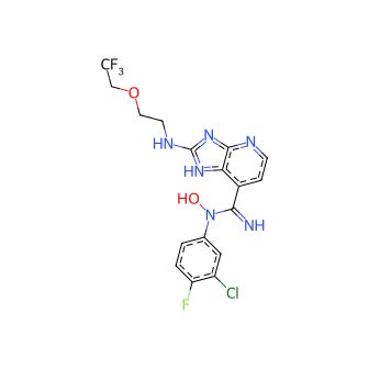 N=C(c1ccnc2nc(NCCOCC(F)(F)F)[nH]c12)N(O)c1ccc(F)c(Cl)c1